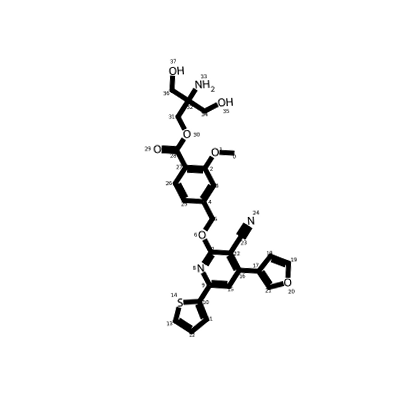 COc1cc(COc2nc(-c3cccs3)cc(-c3ccoc3)c2C#N)ccc1C(=O)OCC(N)(CO)CO